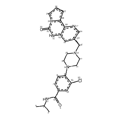 CC(C)NC(=O)c1ccc(N2CCN(Cc3cnc4c(c3)[nH]c(=O)n3cccc43)CC2)c(Cl)c1